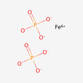 O=P([O-])([O-])[O-].O=P([O-])([O-])[O-].[Fe+6]